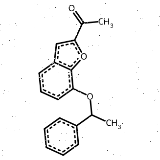 CC(=O)c1cc2cccc(OC(C)c3ccccc3)c2o1